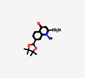 CCOC(=O)c1cc(=O)c2ccc(B3OC(C)(C)C(C)(C)O3)cc2n1C(C)C